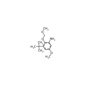 COCOc1c(N)cc(OC)cc1C(C)(C)C